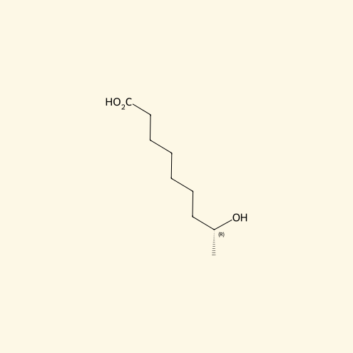 C[C@@H](O)CCCCCCC(=O)O